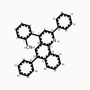 N#Cc1ccccc1-c1cc(-c2ccccc2)nc2c1cc(-c1ccccc1)c1ccccc12